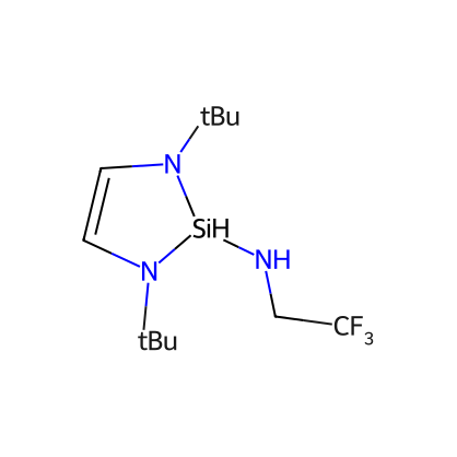 CC(C)(C)N1C=CN(C(C)(C)C)[SiH]1NCC(F)(F)F